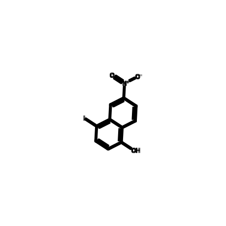 O=[N+]([O-])c1ccc2c(O)ccc(I)c2c1